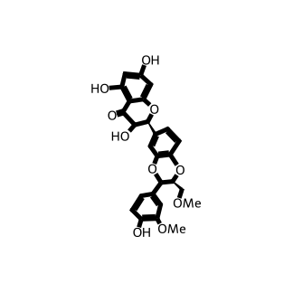 COC[C@@H]1Oc2ccc([C@@H]3Oc4cc(O)cc(O)c4C(=O)C3O)cc2OC1c1ccc(O)c(OC)c1